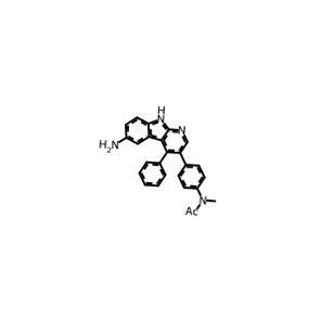 CC(=O)N(C)c1ccc(-c2cnc3[nH]c4ccc(N)cc4c3c2-c2ccccc2)cc1